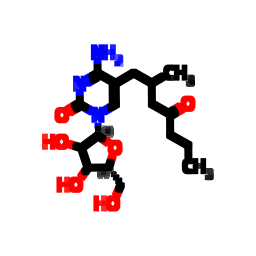 CCCC(=O)CC(C)Cc1cn([C@@H]2O[C@H](CO)C(O)C2O)c(=O)nc1N